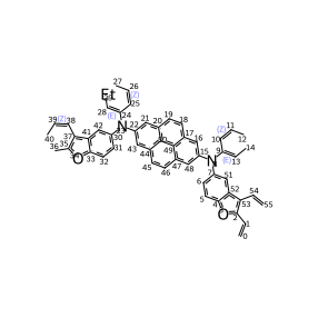 C=Cc1oc2ccc(N(C(/C=C\C)=C/C)c3cc4ccc5cc(N(C(/C=C\C)=C/CC)c6ccc7oc(C)c(/C=C\C)c7c6)cc6ccc(c3)c4c56)cc2c1C=C